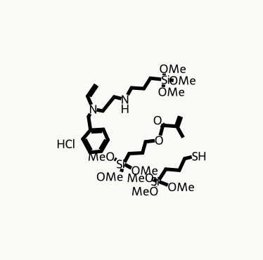 C=C(C)C(=O)OCCC[Si](OC)(OC)OC.C=CN(CCNCCC[Si](OC)(OC)OC)Cc1ccccc1.CO[Si](CCCS)(OC)OC.Cl